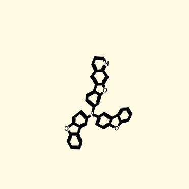 c1cnc2cc3oc4cc(N(c5ccc6oc7ccccc7c6c5)c5ccc6oc7ccccc7c6c5)ccc4c3cc2c1